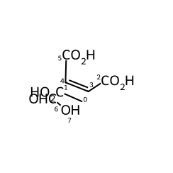 CC(=O)O.O=C(O)/C=C\C(=O)O.O=CO